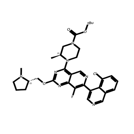 C[C@H]1CN(C(=O)OC(C)(C)C)CCN1c1nc(OC[C@@H]2CCCN2C)nc2c(F)c(-c3cncc4cccc(Cl)c34)ncc12